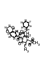 CC(CS(C)(=O)=O)C(=O)N([C@H](N)[C@@H](C)Cc1ccccc1)S(=O)(=O)c1ccc2c(c1)OCCO2